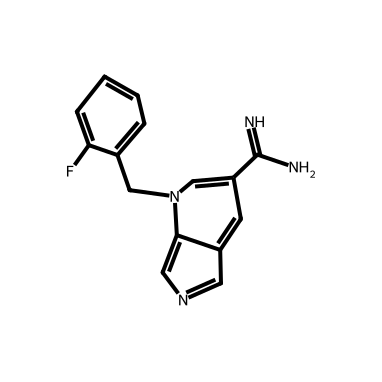 N=C(N)c1cc2cncc-2n(Cc2ccccc2F)c1